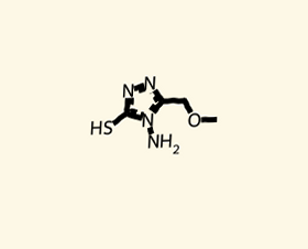 COCc1nnc(S)n1N